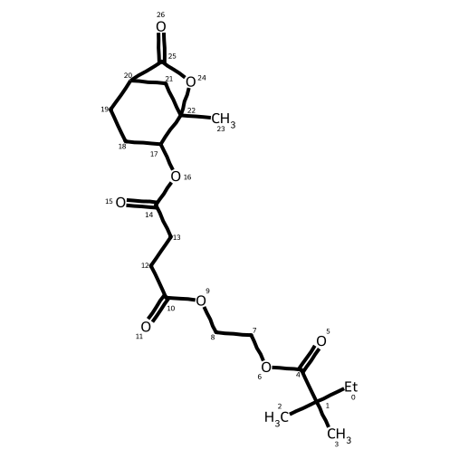 CCC(C)(C)C(=O)OCCOC(=O)CCC(=O)OC1CCC2CC1(C)OC2=O